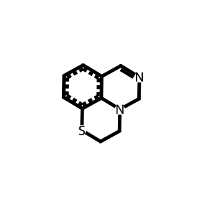 C1=NCN2CCSc3cccc1c32